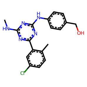 CNc1nc(Nc2ccc(CO)cc2)nc(-c2cc(Cl)ccc2C)n1